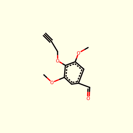 C#CCOc1c(OC)cc(C=O)cc1OC